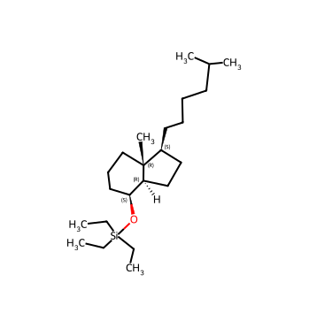 CC[Si](CC)(CC)O[C@H]1CCC[C@]2(C)[C@@H](CCCCC(C)C)CC[C@@H]12